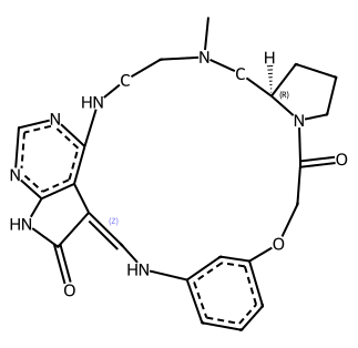 CN1CCNc2ncnc3c2/C(=C/Nc2cccc(c2)OCC(=O)N2CCC[C@@H]2C1)C(=O)N3